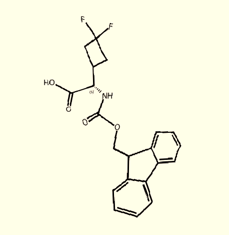 O=C(N[C@H](C(=O)O)C1CC(F)(F)C1)OCC1c2ccccc2-c2ccccc21